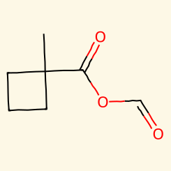 CC1(C(=O)OC=O)CCC1